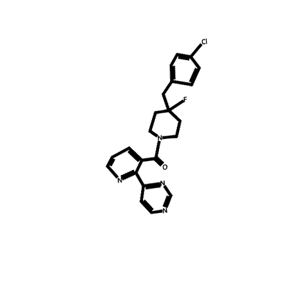 O=C(c1cccnc1-c1ccncn1)N1CCC(F)(Cc2ccc(Cl)cc2)CC1